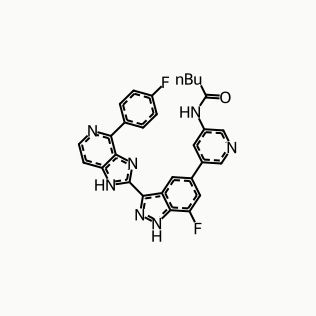 CCCCC(=O)Nc1cncc(-c2cc(F)c3[nH]nc(-c4nc5c(-c6ccc(F)cc6)nccc5[nH]4)c3c2)c1